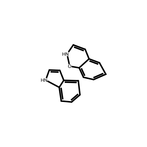 C1=Cc2ccccc2ON1.c1ccc2[nH]ccc2c1